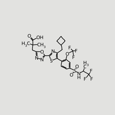 CC(NS(=O)(=O)c1ccc(-c2sc(-c3nnc(CC(C)(C)C(=O)O)o3)nc2CC2CCC2)c(OC(F)(F)F)c1)C(F)(F)F